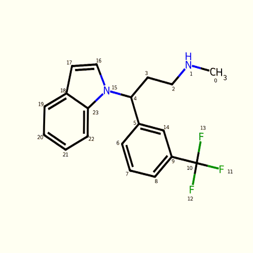 CNCCC(c1cccc(C(F)(F)F)c1)n1ccc2ccccc21